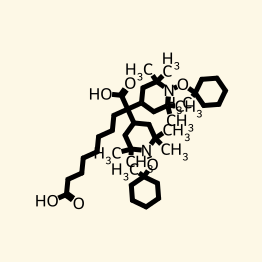 CC1(ON2C(C)(C)CC(C(CCCCCCCC(=O)O)(C(=O)O)C3CC(C)(C)N(OC4(C)CCCCC4)C(C)(C)C3)CC2(C)C)CCCCC1